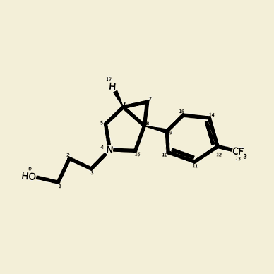 OCCCN1C[C@@H]2C[C@]2(C2C=CC(C(F)(F)F)=CC2)C1